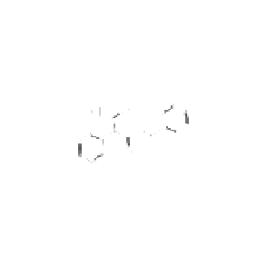 O=C(Cl)C(C(=O)OCc1ccccc1)c1ccccc1